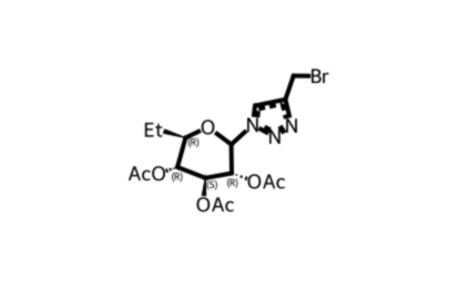 CC[C@H]1OC(n2cc(CBr)nn2)[C@H](OC(C)=O)[C@@H](OC(C)=O)[C@@H]1OC(C)=O